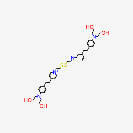 C=CC(/C=C/c1ccc(N(CCO)CCO)cc1)=C\C=N\CCSSCC[n+]1ccc(/C=C/c2ccc(N(CCO)CCO)cc2)cc1